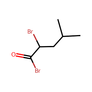 CC(C)CC(Br)C(=O)Br